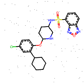 O=S(=O)(NC1CCC(Oc2ccc(Cl)cc2C2CCCCC2)NC1)c1cccc2nonc12